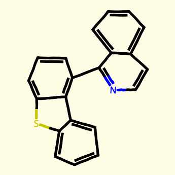 c1ccc2c(-c3cccc4sc5ccccc5c34)nccc2c1